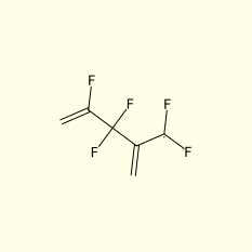 C=C(F)C(F)(F)C(=C)[C](F)F